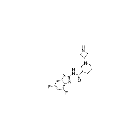 O=C(Nc1nc2c(F)cc(F)cc2s1)C1CCCN(C2CNC2)C1